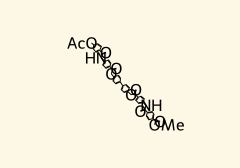 COC(=O)c1ccc(C(=O)Nc2ccc(C(=O)Oc3ccc(-c4ccc(OC(=O)c5ccc(NC(=O)c6ccc(OC(C)=O)cc6)cc5)cc4)cc3)cc2)cc1